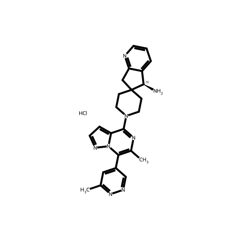 Cc1cc(-c2c(C)nc(N3CCC4(CC3)Cc3ncccc3[C@H]4N)c3ccnn23)cnn1.Cl